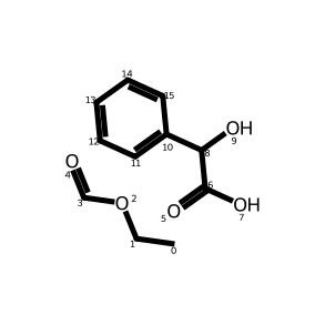 CCOC=O.O=C(O)C(O)c1ccccc1